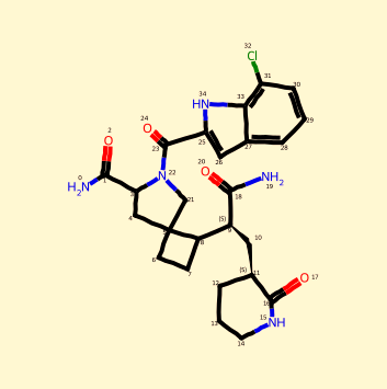 NC(=O)C1CC2(CCC2[C@H](C[C@@H]2CCCNC2=O)C(N)=O)CN1C(=O)c1cc2cccc(Cl)c2[nH]1